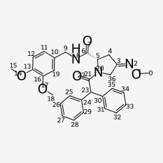 CO/N=C1/C[C@@H](C(=O)NCc2ccc(OC)c(OC)c2)N(C(=O)C(c2ccccc2)c2ccccc2)C1